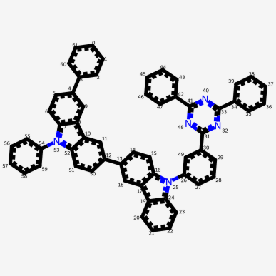 c1ccc(-c2ccc3c(c2)c2cc(-c4ccc5c(c4)c4ccccc4n5-c4cccc(-c5nc(-c6ccccc6)nc(-c6ccccc6)n5)c4)ccc2n3-c2ccccc2)cc1